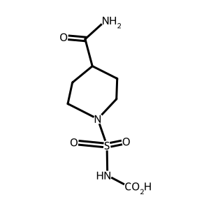 NC(=O)C1CCN(S(=O)(=O)NC(=O)O)CC1